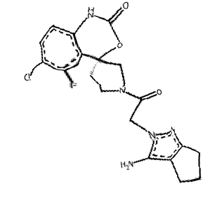 Nc1c2c(nn1CC(=O)N1CC[C@@]3(C1)OC(=O)Nc1ccc(Cl)c(F)c13)CCC2